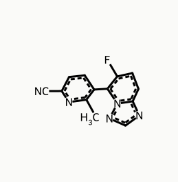 Cc1nc(C#N)ccc1-c1c(F)ccc2ncnn12